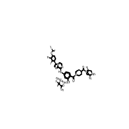 CCc1cc(Nc2nccn3c(-c4ccc(OC(F)F)c(F)c4F)cnc23)ccc1C(=O)N1CCC(C(=O)N2C[C@@H]3C[C@H]2CN3)CC1.O=C(O)C(F)(F)F.O=CO